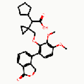 COc1ccc(-c2cccc3c2COC3=O)c(OCC2(C(C(=O)O)C3CCCC3)CC2)c1OC